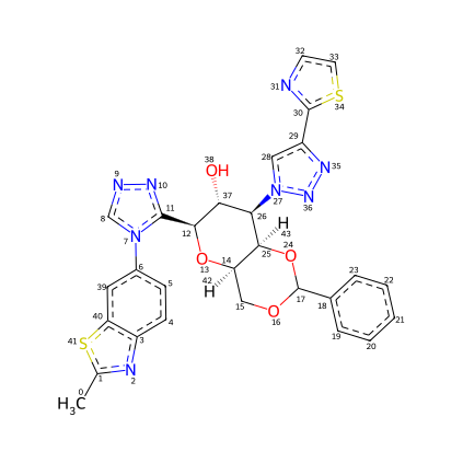 Cc1nc2ccc(-n3cnnc3[C@@H]3O[C@@H]4COC(c5ccccc5)O[C@@H]4[C@H](n4cc(-c5nccs5)nn4)[C@H]3O)cc2s1